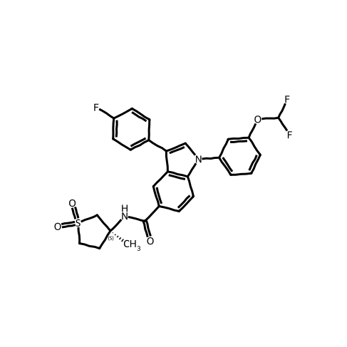 C[C@]1(NC(=O)c2ccc3c(c2)c(-c2ccc(F)cc2)cn3-c2cccc(OC(F)F)c2)CCS(=O)(=O)C1